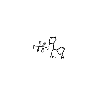 CCC(c1ccccc1OS(=O)(=O)C(F)(F)F)C1CCNC1